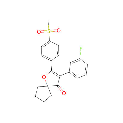 CS(=O)(=O)c1ccc(C2=C(c3cccc(F)c3)C(=O)C3(CCCC3)O2)cc1